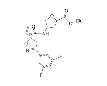 C=C[C@]1(C(=O)NC2COC(C(=O)OC(C)(C)C)C2)CC(c2cc(F)cc(F)c2)=NO1